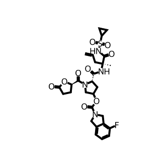 C=CC[C@](C)(NC(=O)[C@@H]1CC(OC(=O)N2Cc3cccc(F)c3C2)CN1C(=O)[C@H]1CCC(=O)O1)C(=O)NS(=O)(=O)C1CC1